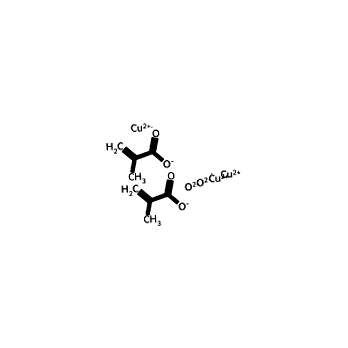 C=C(C)C(=O)[O-].C=C(C)C(=O)[O-].[Cu+2].[Cu+2].[Cu+2].[O-2].[O-2]